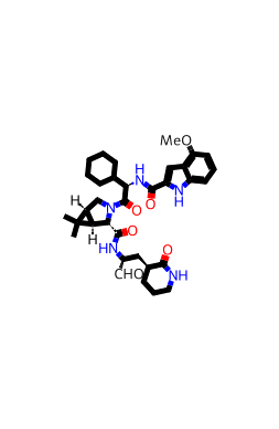 COc1cccc2[nH]c(C(=O)N[C@H](C(=O)N3C[C@H]4[C@@H]([C@H]3C(=O)N[C@H](C=O)C[C@@H]3CCCNC3=O)C4(C)C)C3CCCCC3)cc12